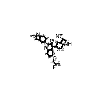 Cn1cc2cc(-n3nc4ccc(OCC(F)F)nc4c(-c4ccc5[nH]cc(C#N)c5c4)c3=O)ccc2n1